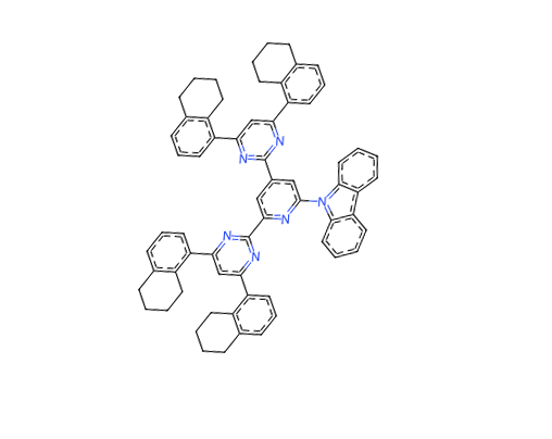 c1cc2c(c(-c3cc(-c4cccc5c4CCCC5)nc(-c4cc(-c5nc(-c6cccc7c6CCCC7)cc(-c6cccc7c6CCCC7)n5)nc(-n5c6ccccc6c6ccccc65)c4)n3)c1)CCCC2